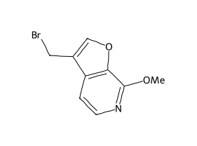 COc1nccc2c(CBr)coc12